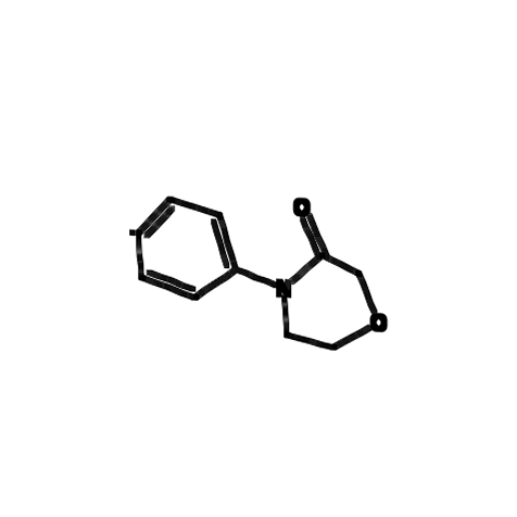 O=C1COCCN1c1cc[c]cc1